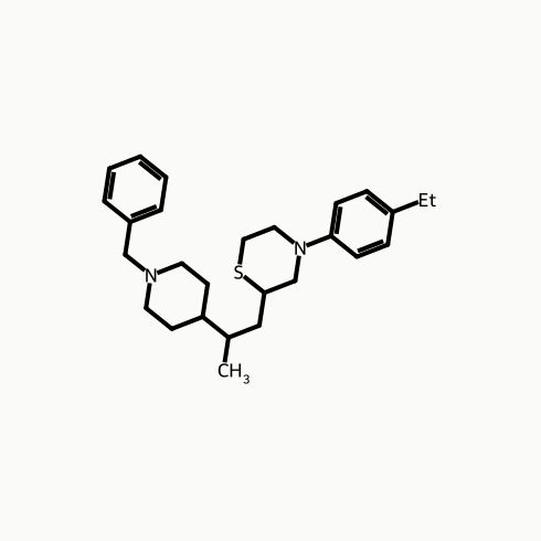 CCc1ccc(N2CCSC(CC(C)C3CCN(Cc4ccccc4)CC3)C2)cc1